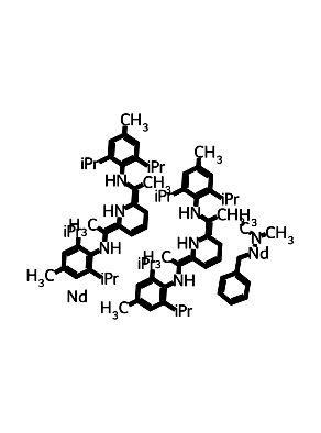 CC(Nc1c(C(C)C)cc(C)cc1C(C)C)=C1C=CCC(=C(C)Nc2c(C(C)C)cc(C)cc2C(C)C)N1.CC(Nc1c(C(C)C)cc(C)cc1C(C)C)=C1C=CCC(=C(C)Nc2c(C(C)C)cc(C)cc2C(C)C)N1.C[N](C)[Nd][CH2]c1ccccc1.[Nd]